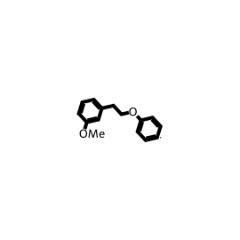 COc1cccc(CCOc2cc[c]cc2)c1